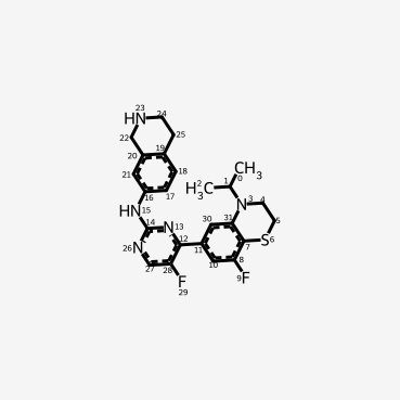 CC(C)N1CCSc2c(F)cc(-c3nc(Nc4ccc5c(c4)CNCC5)ncc3F)cc21